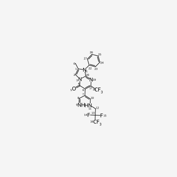 Cc1cn2c(=O)c(/C(C=N)=C/NCC(F)(F)C(F)(F)F)c(C(F)(F)F)nc2n1-c1ccccc1